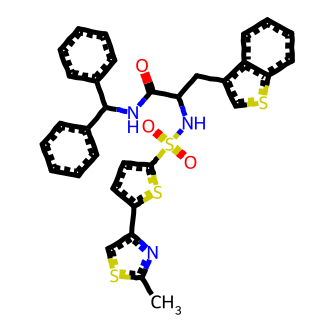 Cc1nc(-c2ccc(S(=O)(=O)NC(Cc3csc4ccccc34)C(=O)NC(c3ccccc3)c3ccccc3)s2)cs1